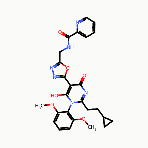 COc1cccc(OC)c1-n1c(CCC2CC2)nc(=O)c(-c2nnc(CNC(=O)c3ccccn3)o2)c1O